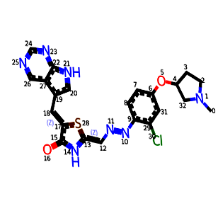 CN1CCC(Oc2ccc(N=N/C=c3/[nH]c(=O)/c(=C/c4c[nH]c5ncncc45)s3)c(Cl)c2)C1